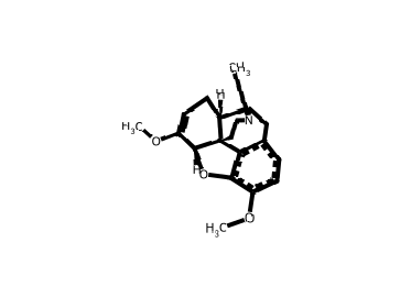 COC1=CC[C@@H]2C3Cc4ccc(OC)c5c4[C@]2(CCN3C)[C@@H]1O5